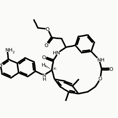 CCOC(=O)CC1NC(=O)[C@H](Nc2ccc3c(N)nccc3c2)c2cc(C)c(c(C)c2)CCOC(=O)Nc2cccc1c2